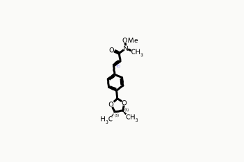 CON(C)C(=O)/C=C/c1ccc(C2O[C@@H](C)[C@H](C)O2)cc1